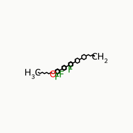 C=CCCC1CCC(C2CC=C(c3ccc(-c4ccc(-c5ccc(OCCCCCCC)c(F)c5F)cc4)c(F)c3)CC2)CC1